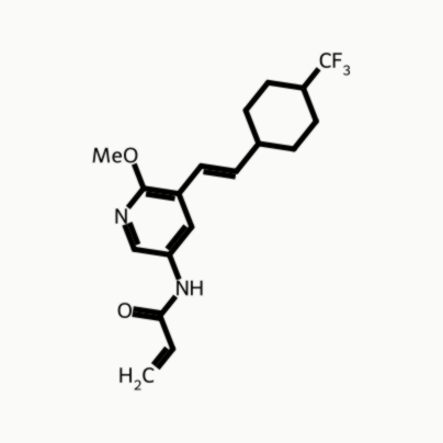 C=CC(=O)Nc1cnc(OC)c(C=CC2CCC(C(F)(F)F)CC2)c1